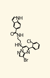 O=C(NCCNc1cc(-c2ccccc2Cl)nc2c(Br)cnn12)c1ccc2[nH]ccc2c1